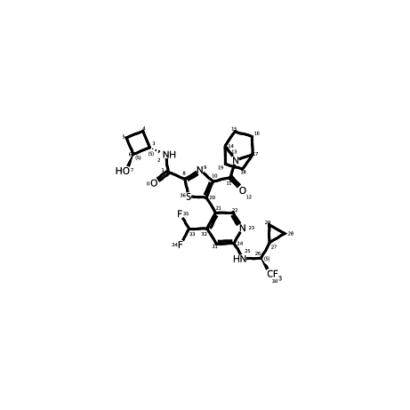 O=C(N[C@H]1CC[C@@H]1O)c1nc(C(=O)N2C3CCC2CC3)c(-c2cnc(N[C@@H](C3CC3)C(F)(F)F)cc2C(F)F)s1